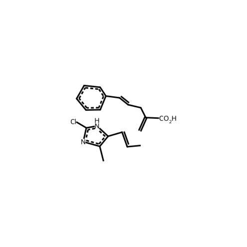 C=C(CC=Cc1ccccc1)C(=O)O.CC=Cc1[nH]c(Cl)nc1C